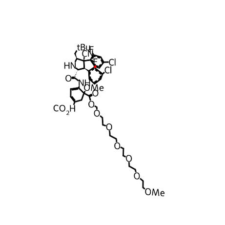 COCCOCCOCCOCCOCCOCOC(=O)C1(OC)CC(C(=O)O)=CC=C1NC(=O)[C@@H]1N[C@@H](CC(C)(C)C)[C@](C#N)(c2ccc(Cl)cc2F)[C@H]1c1cccc(Cl)c1F